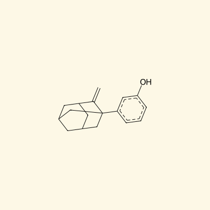 C=C1C2CC3CC(C2)CC1(c1cccc(O)c1)C3